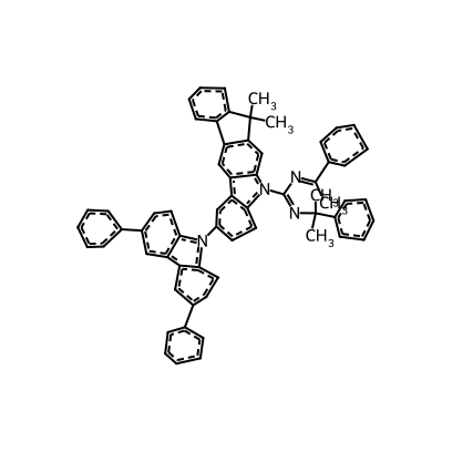 C/C(=N\C(=N/C(C)(C)c1ccccc1)n1c2ccc(-n3c4ccc(-c5ccccc5)cc4c4cc(-c5ccccc5)ccc43)cc2c2cc3c(cc21)C(C)(C)c1ccccc1-3)c1ccccc1